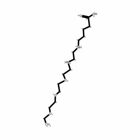 CCOCCOCCOCCNCCNCCCCC(=O)O